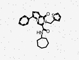 O=C(NC1CCCCCC1)c1cn2c(-c3ccccc3)ccc2c(=O)n1Cc1cccs1